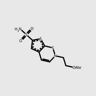 COCCN1C=Cc2cc(S(N)(=O)=O)sc2S1